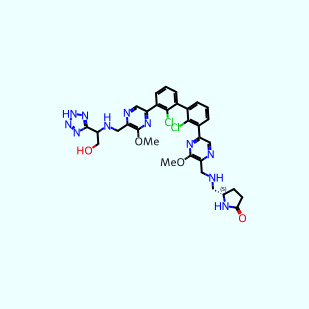 COc1nc(-c2cccc(-c3cccc(-c4cnc(CNC(CO)c5nn[nH]n5)c(OC)n4)c3Cl)c2Cl)cnc1CNC[C@@H]1CCC(=O)N1